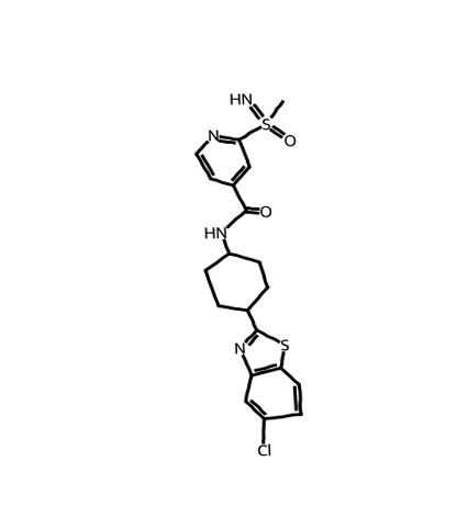 CS(=N)(=O)c1cc(C(=O)NC2CCC(c3nc4cc(Cl)ccc4s3)CC2)ccn1